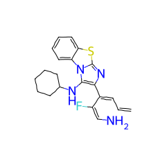 C=C/C=C(\C(F)=C/N)c1nc2sc3ccccc3n2c1NC1CCCCC1